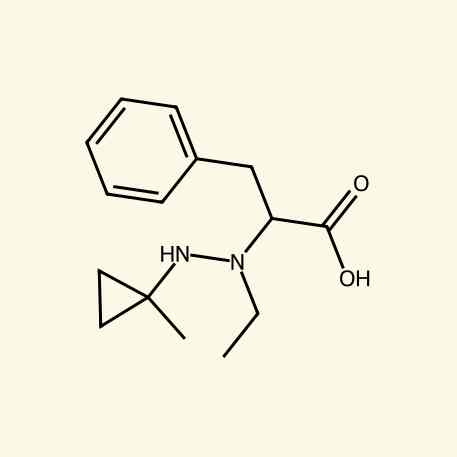 CCN(NC1(C)CC1)C(Cc1ccccc1)C(=O)O